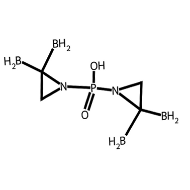 BC1(B)CN1P(=O)(O)N1CC1(B)B